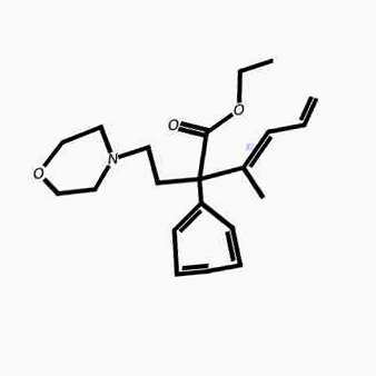 C=C/C=C(\C)C(CCN1CCOCC1)(C(=O)OCC)c1ccccc1